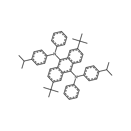 CC(C)c1ccc(N(c2ccccc2)c2c3ccc(C(C)(C)C)cc3c(N(c3ccccc3)c3ccc(C(C)C)cc3)c3ccc(C(C)(C)C)cc23)cc1